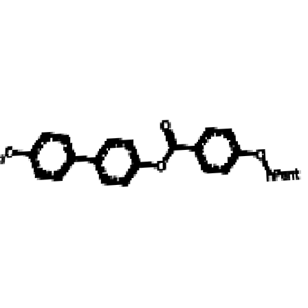 CCCCCOc1ccc(C(=O)Oc2ccc(-c3ccc(C)cc3)cc2)cc1